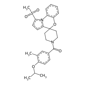 Cc1cc(C(=O)N2CCC3(CC2)Oc2ccccc2-n2c3ccc2S(C)(=O)=O)ccc1OC(C)C